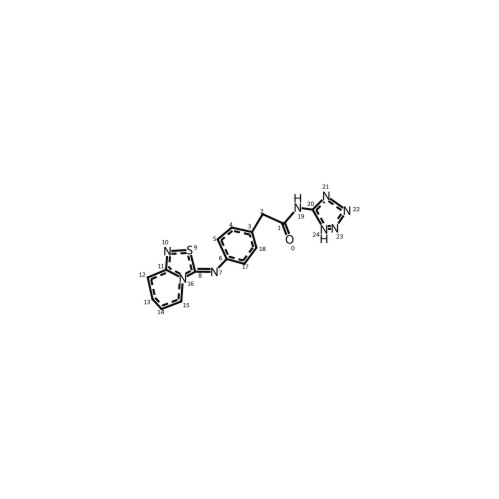 O=C(Cc1ccc(N=c2snc3ccccn23)cc1)Nc1nnn[nH]1